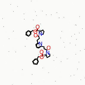 O=C(OCc1ccccc1)[C@H]1CCCN1C(=O)CCc1cccc(CCC(=O)N2CCC[C@@H]2C(=O)OCc2ccccc2)n1